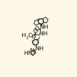 COC(=O)[C@@H](Cc1cccc(Nc2cc[nH]n2)c1)NC(=O)Nc1c2c(cc3c1CCC3)CCC2